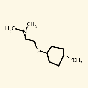 CN(C)CCO[C@H]1CC[C@H](C)CC1